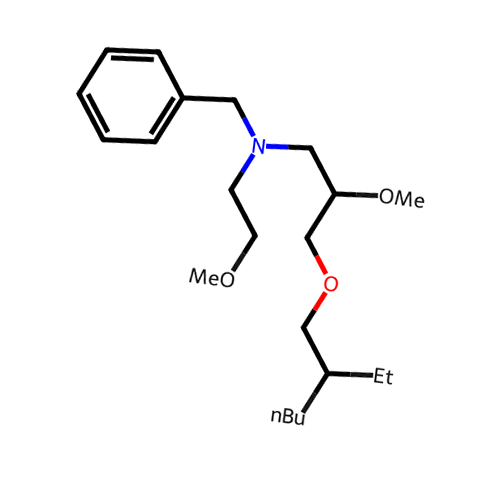 CCCCC(CC)COCC(CN(CCOC)Cc1ccccc1)OC